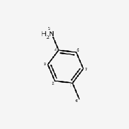 Cc1c[c]c(N)cc1